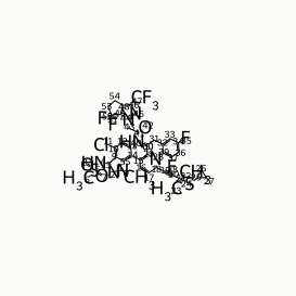 Cn1nc(NS(C)(=O)=O)c2c(Cl)ccc(-c3ccc(C#CC(C)(C)SC4CC4)nc3[C@H](Cc3cc(F)cc(F)c3)NC(=O)Cn3nc(C(F)(F)F)c4c3C(F)(F)CC4)c21